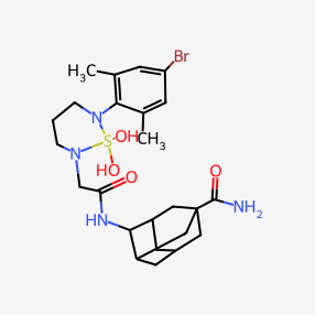 Cc1cc(Br)cc(C)c1N1CCCN(CC(=O)NC2C3CC4CC2CC(C(N)=O)(C4)C3)S1(O)O